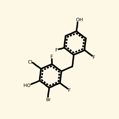 Oc1cc(F)c(Cc2c(F)c(Cl)c(O)c(Br)c2F)c(F)c1